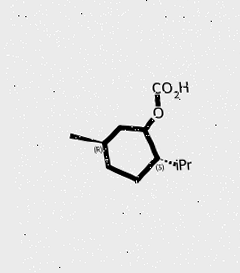 CC(C)[C@@H]1CC[C@@H](C)CC1OC(=O)O